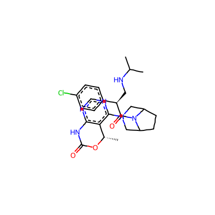 CC(C)NC[C@@H](C(=O)N1C2CCC1CN(c1ncnc3c1[C@H](C)OC(=O)N3)C2)c1ccc(Cl)cc1